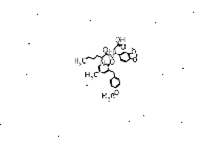 CCCCC(C(=O)N[C@@H](CC(=O)O)c1ccc2c(c1)OCO2)n1cc(C)cc(Cc2ccc(OC)cc2)c1=O